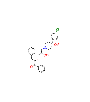 O=C(c1ccccc1)C(Cc1ccccc1)OCC(O)CN1CCC(O)(c2ccc(Cl)cc2)CC1